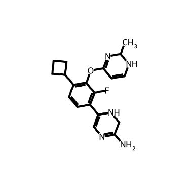 CC1N=C(Oc2c(C3CCC3)ccc(C3=CN=C(N)CN3)c2F)C=CN1